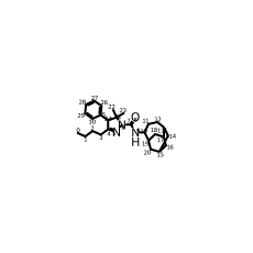 CCCCC1=NN(C(=O)NC2CCC3CC4CC3CC2C4)C(C)(C)C1c1ccccc1